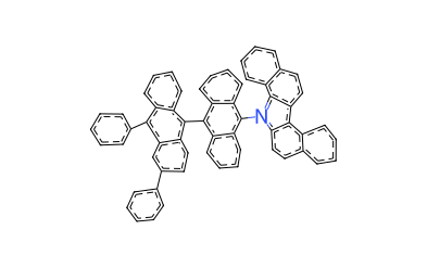 c1ccc(-c2ccc3c(-c4c5ccccc5c(-n5c6ccc7ccccc7c6c6ccc7ccccc7c65)c5ccccc45)c4ccccc4c(-c4ccccc4)c3c2)cc1